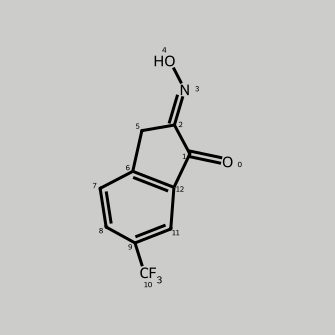 O=C1C(=NO)Cc2ccc(C(F)(F)F)cc21